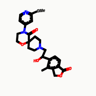 COc1cc(N2CCOC3(CCN(CC(O)c4ccc5c(c4C)COC5=O)CC3)C2=O)ccn1